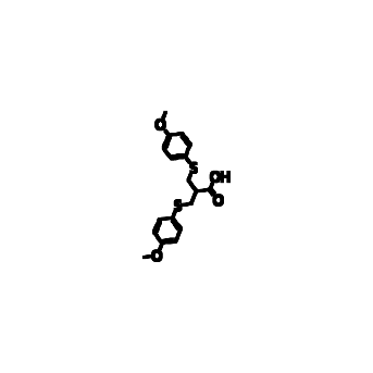 COc1ccc(SCC(CSc2ccc(OC)cc2)C(=O)O)cc1